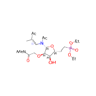 CCOP(=O)(CC[C@H]1O[C@@H](N(/C=C(/C)C(C)=O)C(C)=O)[C@H](OCC(=O)NC)[C@@H]1O)OCC